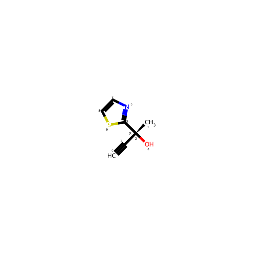 C#C[C@@](C)(O)c1nccs1